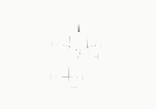 CC(C)(O)CON1C(C)(C)CC(=O)CC1(C)C